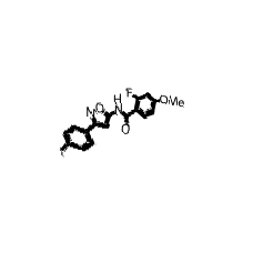 COc1ccc(C(=O)Nc2cc(-c3ccc(I)cc3)no2)c(F)c1